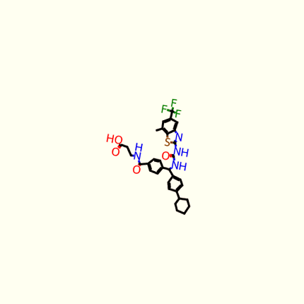 Cc1cc(C(F)(F)F)cc2nc(NC(=O)NC(c3ccc(C(=O)NCCC(=O)O)cc3)c3ccc(C4CCCCC4)cc3)sc12